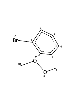 Brc1ccccc1.COOC